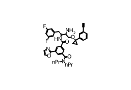 C#Cc1cccc(C2(OCC(N)[C@H](Cc3cc(F)cc(F)c3)NC(=O)c3cc(C(=O)N(CCC)CCC)cc(-c4ncco4)c3)CC2)c1